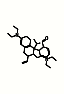 C=CC1CC2=C(CCC(N(CC)CC)=C2)C(C(C)C)(C2C=CC=CC2C=O)C1CCN(CC)CC